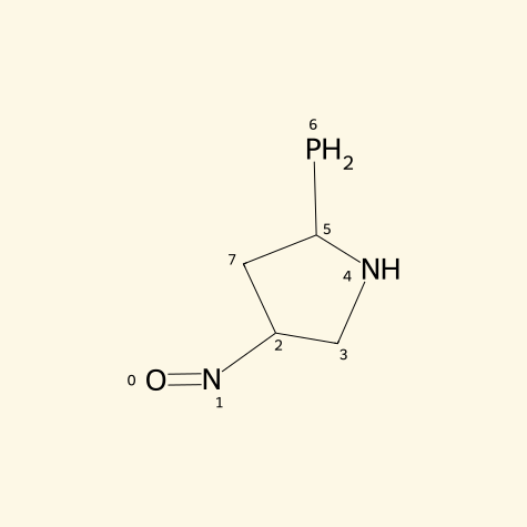 O=NC1CNC(P)C1